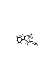 CCC(C)OP(=O)(O)Cc1sc2ccccc2c1Br